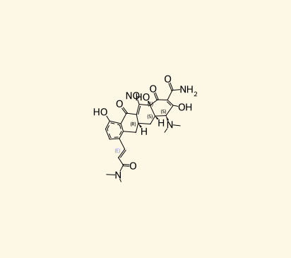 CN(C)C(=O)/C=C/c1ccc(O)c2c1C[C@H]1C[C@H]3[C@H](N(C)C)C(O)=C(C(N)=O)C(=O)[C@@]3(O)C(N=O)=C1C2=O